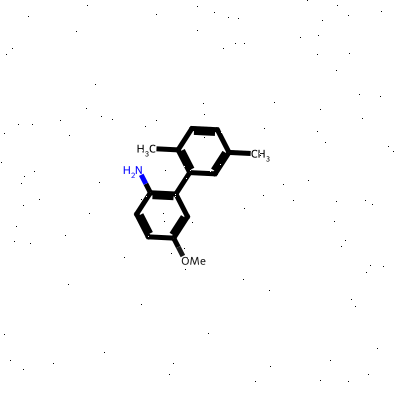 COc1ccc(N)c(-c2cc(C)ccc2C)c1